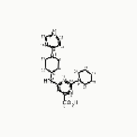 O=C(O)c1cc(NC2CCN(c3ccncn3)CC2)nc(N2CCCCC2)n1